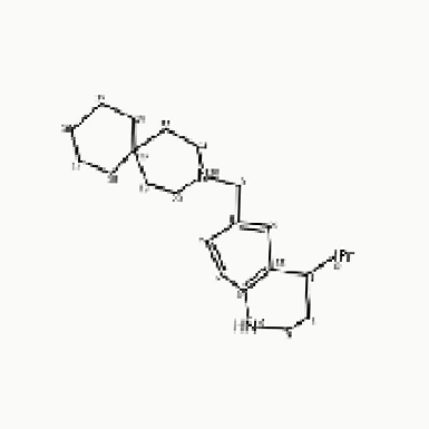 CC(C)C1CCNc2ccc(CN3CCC4(CCCCC4)CC3)cc21